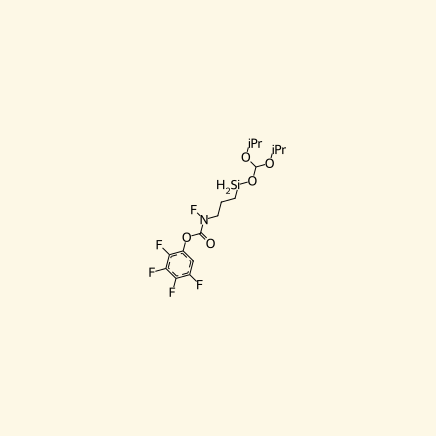 CC(C)OC(O[SiH2]CCCN(F)C(=O)Oc1cc(F)c(F)c(F)c1F)OC(C)C